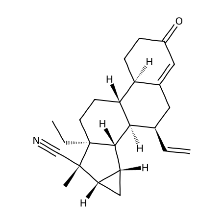 C=C[C@@H]1CC2=CC(=O)CC[C@@H]2[C@H]2CC[C@@]3(CC)[C@@H]([C@@H]4C[C@@H]4[C@]3(C)C#N)[C@@H]21